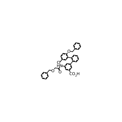 O=C(COCc1ccccc1)Nc1cc(C(=O)O)cc(-c2ccccc2-c2cc(Cl)ccc2OCc2ccccc2)c1